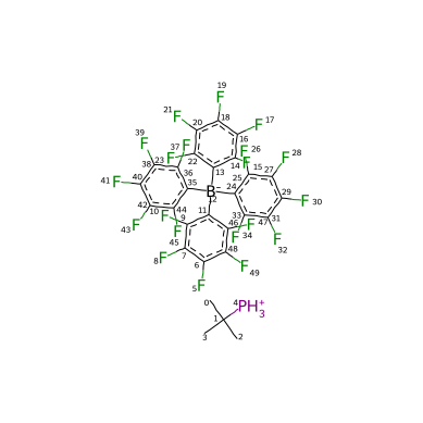 CC(C)(C)[PH3+].Fc1c(F)c(F)c([B-](c2c(F)c(F)c(F)c(F)c2F)(c2c(F)c(F)c(F)c(F)c2F)c2c(F)c(F)c(F)c(F)c2F)c(F)c1F